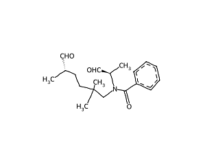 C[C@H](C=O)CCC(C)(C)CN(C(=O)c1ccccc1)[C@H](C)C=O